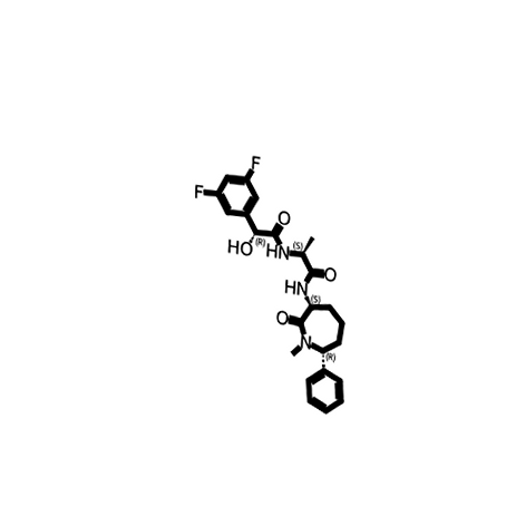 C[C@H](NC(=O)[C@H](O)c1cc(F)cc(F)c1)C(=O)N[C@H]1CCC[C@H](c2ccccc2)N(C)C1=O